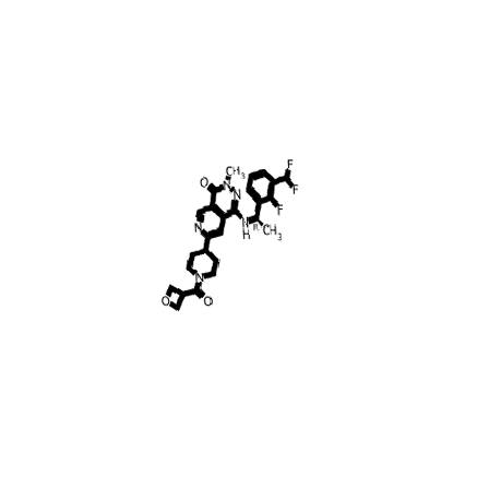 C[C@@H](Nc1nn(C)c(=O)c2cnc(C3CCN(C(=O)C4COC4)CC3)cc12)c1cccc(C(F)F)c1F